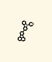 c1cc2c3c(cccc3c1)-c1cc(-c3ccc4c(c3)c3ccccc3n4-c3ccncc3)ccc1-2